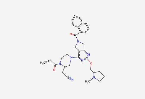 C=CC(=O)N1CCN(c2nc(OCC3CCCN3C)nc3c2CN(C(=O)c2cccc4ccccc24)C3)CC1CC#N